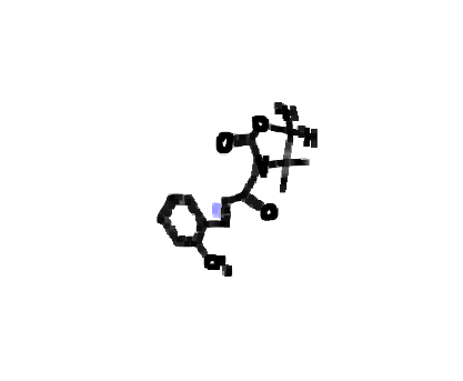 [2H]C1([2H])OC(=O)N(C(=O)/C=C/c2ccccc2C(F)(F)F)C1(C)C